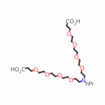 CCCN(CCOCCOCCOCCOCCC(=O)O)CCOCCOCCOCCOCCC(=O)O